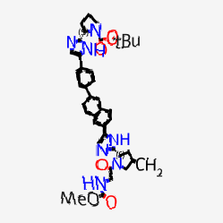 C=C1C[C@@H](c2ncc(-c3ccc4cc(-c5ccc(-c6cnc([C@@H]7CCCN7C(=O)OC(C)(C)C)[nH]6)cc5)ccc4c3)[nH]2)N(C(=O)CNC(=O)OC)C1